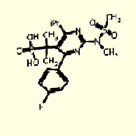 CC(C)c1nc(N(C)S(C)(=O)=O)nc(-c2ccc(F)cc2)c1C(C)(C)P(=O)(O)O